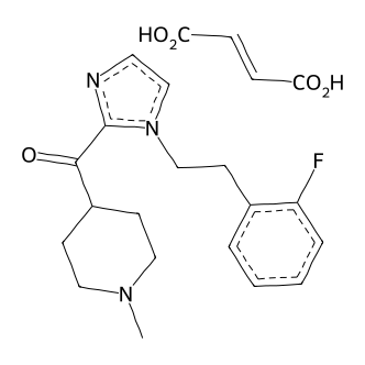 CN1CCC(C(=O)c2nccn2CCc2ccccc2F)CC1.O=C(O)C=CC(=O)O